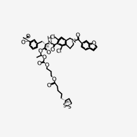 CC(OC(=O)OCCCOC(=O)CCCC[C@@H]1CCSS1)OC(=O)[C@H](Cc1cccc(S(C)(=O)=O)c1)NC(=O)c1c(Cl)cc2c(c1Cl)CCN(C(=O)c1ccc3ccoc3c1)C2